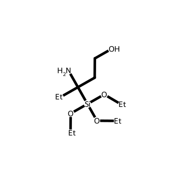 CCO[Si](OCC)(OCC)C(N)(CC)CCO